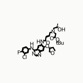 C[C@@H](O)CN(CC=CC(=O)Nc1cc2c(Nc3ccc(F)c(Cl)c3)ncnc2cc1O[C@H]1CCOC1)CC(=O)OC(C)(C)C